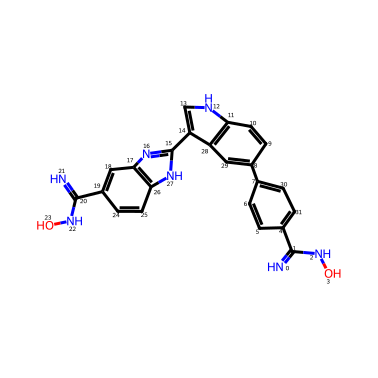 N=C(NO)c1ccc(-c2ccc3[nH]cc(-c4nc5cc(C(=N)NO)ccc5[nH]4)c3c2)cc1